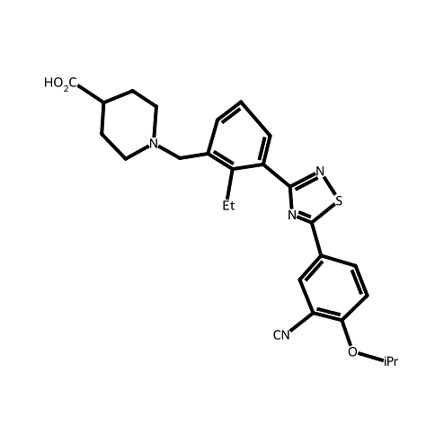 [C-]#[N+]c1cc(-c2nc(-c3cccc(CN4CCC(C(=O)O)CC4)c3CC)ns2)ccc1OC(C)C